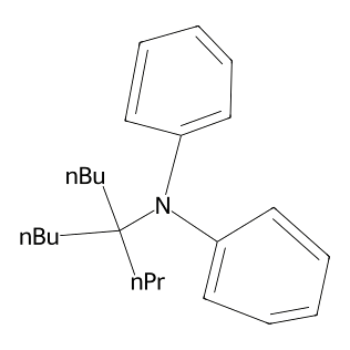 CCCCC(CCC)(CCCC)N(c1ccccc1)c1ccccc1